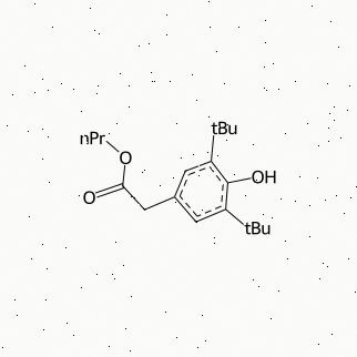 CCCOC(=O)Cc1cc(C(C)(C)C)c(O)c(C(C)(C)C)c1